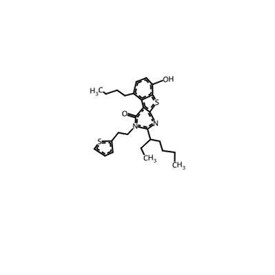 CCCCc1ccc(O)c2sc3nc(C(CC)CCCC)n(CCc4cccs4)c(=O)c3c12